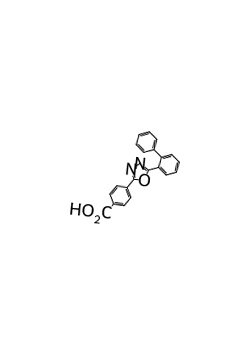 O=C(O)c1ccc(-c2nnc(-c3ccccc3-c3ccccc3)o2)cc1